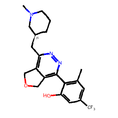 Cc1cc(C(F)(F)F)cc(O)c1-c1nnc(C[C@@H]2CCCN(C)C2)c2c1COC2